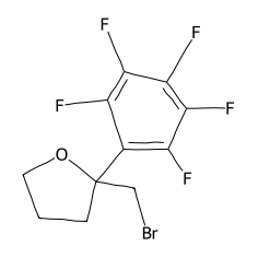 Fc1c(F)c(F)c(C2(CBr)CCCO2)c(F)c1F